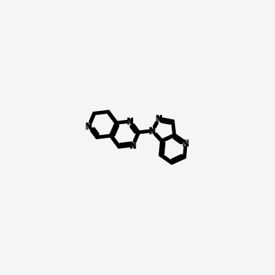 C1=NCCc2nc(-n3ncc4ncccc43)ncc21